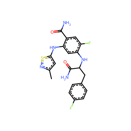 Cc1cc(Nc2cc(NC(Cc3ccc(F)cc3)C(N)=O)c(F)cc2C(N)=O)sn1